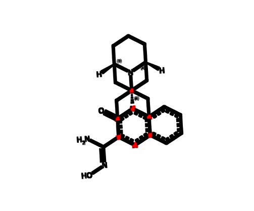 NC(=NO)c1nc2ccccc2n([C@H]2C[C@H]3CCC[C@@H](C2)N3C2CC3CCCC(C3)C2)c1=O